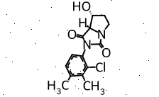 Cc1ccc(N2C(=O)[C@@H]3[C@H](O)CCN3C2=O)c(Cl)c1C